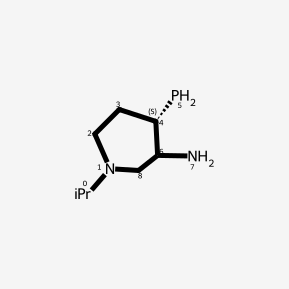 CC(C)N1CC[C@H](P)C(N)C1